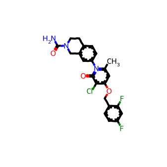 Cc1cc(OCc2ccc(F)cc2F)c(Cl)c(=O)n1-c1ccc2c(c1)CN(C(N)=O)CC2